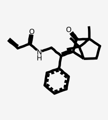 C=CC(=O)NCC(=C1C(=O)C2(C)CCC1C2(C)C)c1ccccc1